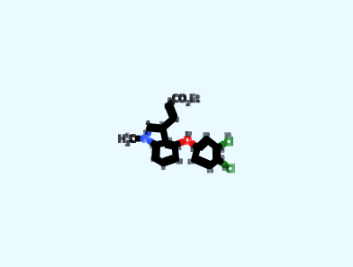 CCOC(=O)C=Cc1cn(C)c2cccc(Oc3ccc(Cl)c(Cl)c3)c12